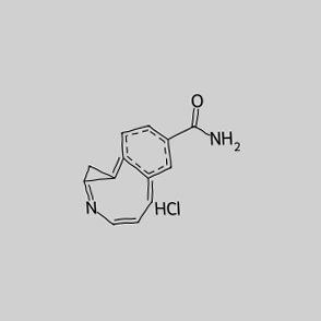 Cl.NC(=O)c1cc/c2c(c1)=CC=CN=C1C\C=21